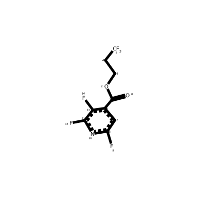 O=C(OCCC(F)(F)F)c1cc(F)nc(F)c1F